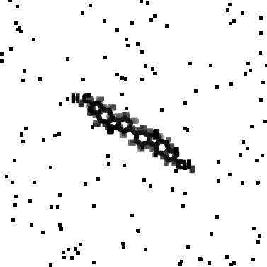 Cc1cc2cc3c(cc2s1)sc1cc(-c2ccc4c(c2)sc2cc5sc(C)cc5cc24)ccc13